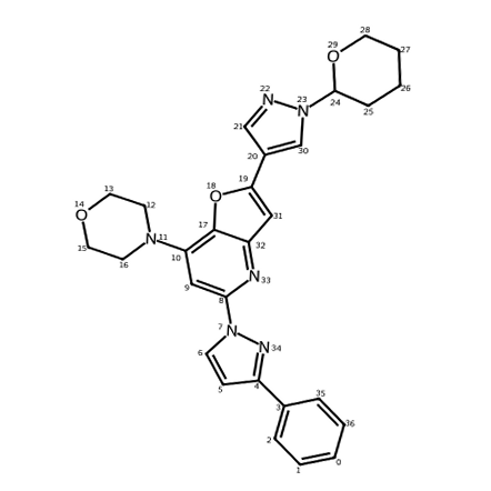 c1ccc(-c2ccn(-c3cc(N4CCOCC4)c4oc(-c5cnn(C6CCCCO6)c5)cc4n3)n2)cc1